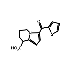 O=C(c1cccs1)c1ccc2n1CCCC2C(=O)O